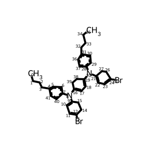 CCCCc1ccc(N(C2=CC=C(Br)CC2)C2=CC=C(N(C3=CC=C(Br)CC3)c3ccc(CCCC)cc3)CC2)cc1